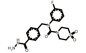 NNC(=O)c1ccc(CN(C(=O)N2CCS(=O)(=O)CC2)c2cccc(F)c2)cc1